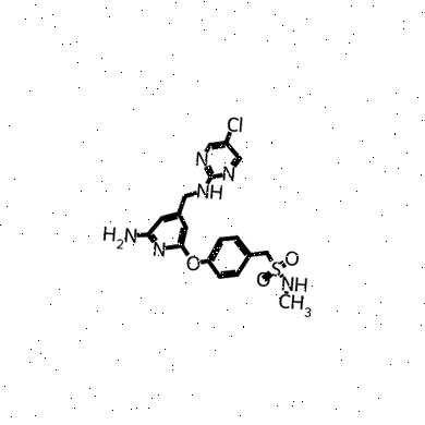 CNS(=O)(=O)Cc1ccc(Oc2cc(CNc3ncc(Cl)cn3)cc(N)n2)cc1